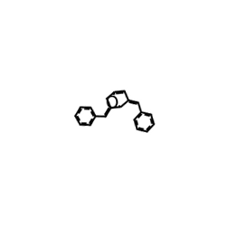 C1=C2CC(=Cc3ccccc3)C(O2)C1=Cc1ccccc1